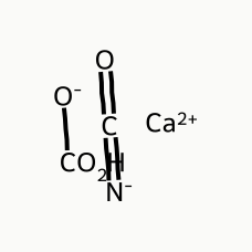 O=C([O-])O.[Ca+2].[N-]=C=O